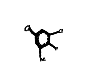 CC(=O)c1cc(Cl)cc(Cl)c1F